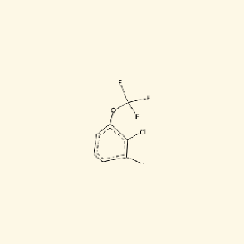 [CH2]c1cccc(OC(F)(F)F)c1Cl